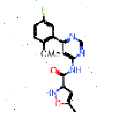 COc1ccc(F)cc1-c1cc(NC(=O)C2C=C(C)ON2)ncn1